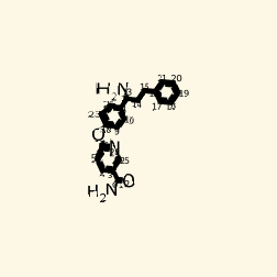 NC(=O)c1ccc(Oc2ccc(C(N)CCc3ccccc3)cc2)nc1